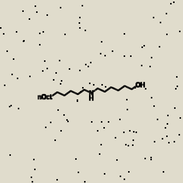 CCCCCCCCCCCCCNCCCCCCO